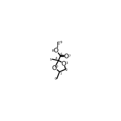 CC1COC(C)(C(=O)OF)O1